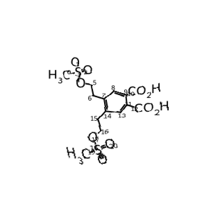 CS(=O)(=O)OCCc1cc(C(=O)O)c(C(=O)O)cc1CCOS(C)(=O)=O